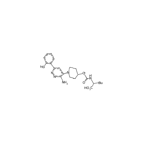 CC(C)(C)C(NC(=O)OC1CCN(c2cc(-c3ccccc3O)nnc2N)CC1)C(=O)O